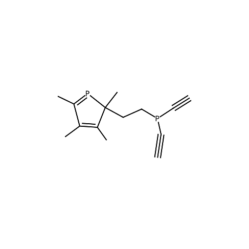 C#CP(C#C)CCC1(C)P=C(C)C(C)=C1C